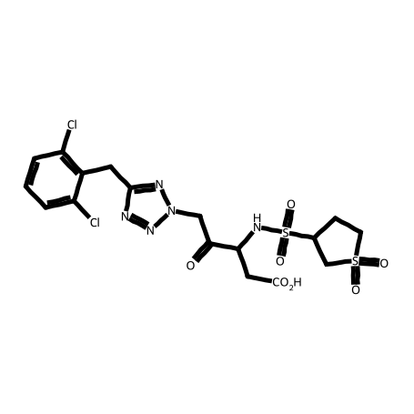 O=C(O)CC(NS(=O)(=O)C1CCS(=O)(=O)C1)C(=O)Cn1nnc(Cc2c(Cl)cccc2Cl)n1